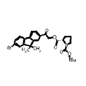 CC(C)(C)OC(=O)N1CCC[C@H]1C(=O)OCC(=O)c1ccc2c(c1)C(C)(C)c1cc(Br)ccc1-2